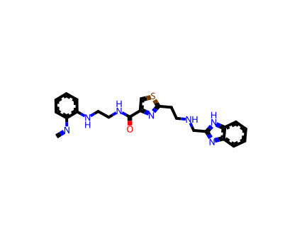 C=Nc1ccccc1NCCNC(=O)c1csc(CCNCc2nc3ccccc3[nH]2)n1